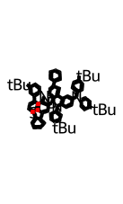 CC(C)(C)c1ccc(N2B3c4cc5c(cc4N(c4ccc(C(C)(C)C)cc4-c4ccccc4)c4cc(-c6ccccc6)cc(c43)-c3cc(N(c4ccc(C(C)(C)C)cc4)c4ccc(C(C)(C)C)cc4)ccc32)sc2ccccc25)cc1